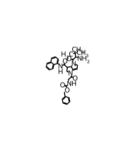 CC(C)(C)C(N)C(=O)N1CC=C2C1C(C(=O)Nc1cccc3ccccc13)CN2C(=O)CNC(=O)OCc1ccccc1